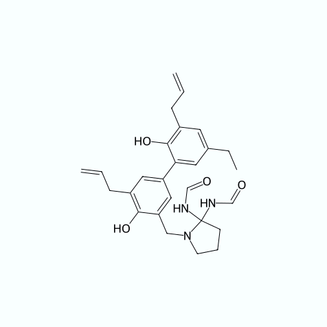 C=CCc1cc(-c2cc(CC)cc(CC=C)c2O)cc(CN2CCCC2(NC=O)NC=O)c1O